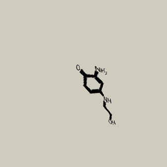 NC1=CC(NCCO)=CCC1=O